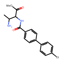 CCc1ccc(-c2ccc(C(=O)NC(C(=O)OC)C(C)N)cc2)cc1